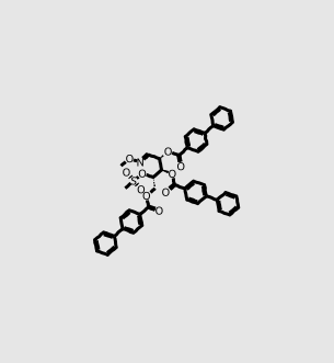 CON=C[C@H](OC(=O)c1ccc(-c2ccccc2)cc1)[C@@H](OC(=O)c1ccc(-c2ccccc2)cc1)[C@H](COC(=O)c1ccc(-c2ccccc2)cc1)OS(C)(=O)=O